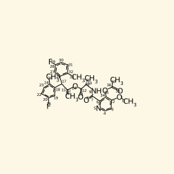 COc1ccnc(C(=O)N[C@@H](C)C(=O)O[C@@H](C)C(c2cc(F)ccc2C)c2cc(F)ccc2C)c1OC(C)=O